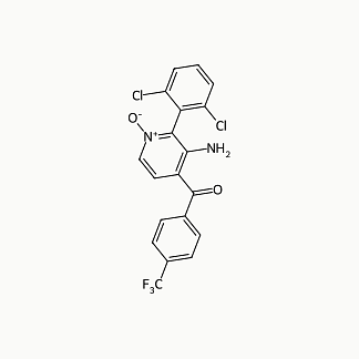 Nc1c(C(=O)c2ccc(C(F)(F)F)cc2)cc[n+]([O-])c1-c1c(Cl)cccc1Cl